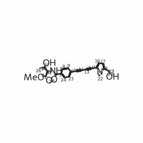 COC(=O)[C@@H](NC(=O)c1ccc(C#CC#Cc2ccc(CO)n2C)cc1)[C@@H](C)O